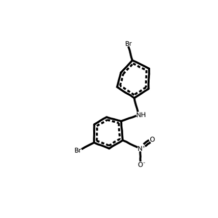 O=[N+]([O-])c1cc(Br)ccc1Nc1ccc(Br)cc1